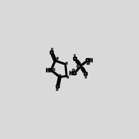 O=C1CCC(=O)N1.O=S(=O)(O)O